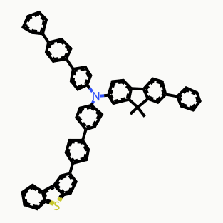 CC1(C)c2cc(-c3ccccc3)ccc2-c2ccc(N(c3ccc(-c4ccc(-c5ccccc5)cc4)cc3)c3ccc(-c4ccc(-c5ccc6sc7ccccc7c6c5)cc4)cc3)cc21